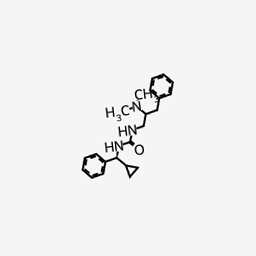 CN(C)C(CNC(=O)N[C@H](c1ccccc1)C1CC1)Cc1ccccc1